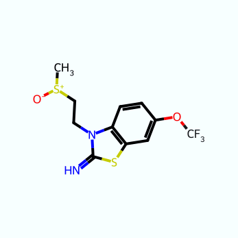 C[S+]([O-])CCn1c(=N)sc2cc(OC(F)(F)F)ccc21